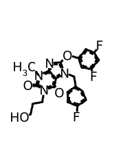 Cn1c(=O)n(CCCO)c(=O)c2c1nc(Oc1cc(F)cc(F)c1)n2Cc1ccc(F)cc1